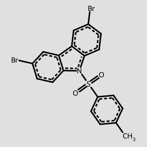 Cc1ccc(S(=O)(=O)n2c3ccc(Br)cc3c3cc(Br)ccc32)cc1